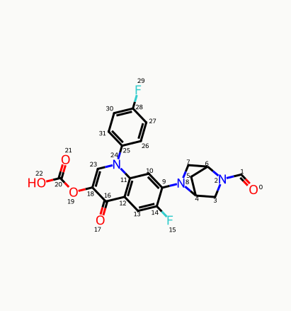 O=CN1CC2CC1CN2c1cc2c(cc1F)c(=O)c(OC(=O)O)cn2-c1ccc(F)cc1